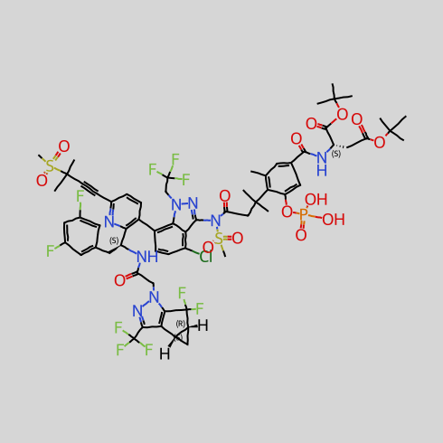 Cc1cc(C(=O)N[C@@H](CC(=O)OC(C)(C)C)C(=O)OC(C)(C)C)cc(OP(=O)(O)O)c1C(C)(C)CC(=O)N(c1nn(CC(F)(F)F)c2c(-c3ccc(C#CC(C)(C)S(C)(=O)=O)nc3[C@H](Cc3cc(F)cc(F)c3)NC(=O)Cn3nc(C(F)(F)F)c4c3C(F)(F)[C@@H]3C[C@H]43)ccc(Cl)c12)S(C)(=O)=O